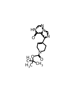 CC(C)(C)OC(=O)N1CC=C(c2ncn3nc[nH]c(=O)c23)CC1